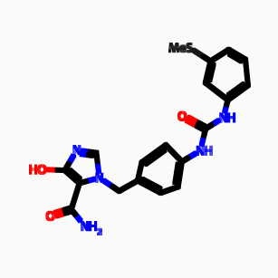 CSc1cccc(NC(=O)Nc2ccc(Cn3cnc(O)c3C(N)=O)cc2)c1